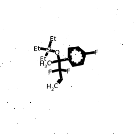 C=CC(F)(F)C(C)(O[Si](CC)(CC)CC)c1ccc(F)cc1